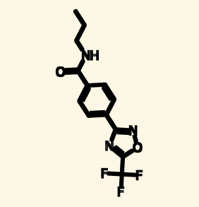 CCCNC(=O)c1ccc(-c2noc(C(F)(F)F)n2)cc1